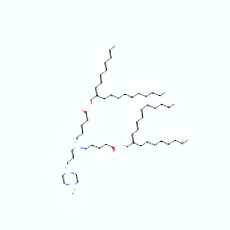 CCCCCCCCCCC(CCCCCCCC)COC(=O)CCCCN(CCCCC(=O)OCC(CCCCCCCC)CCCCCCCCCC)CCCN1CCN(C)CC1